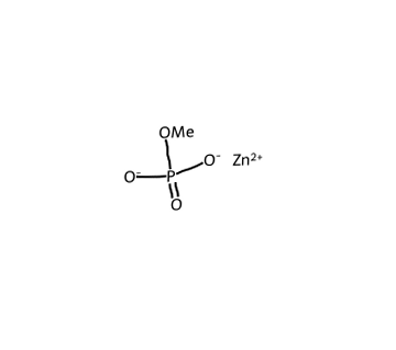 COP(=O)([O-])[O-].[Zn+2]